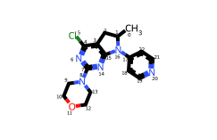 CC1Cc2c(Cl)nc(N3CCOCC3)nc2N1c1ccncc1